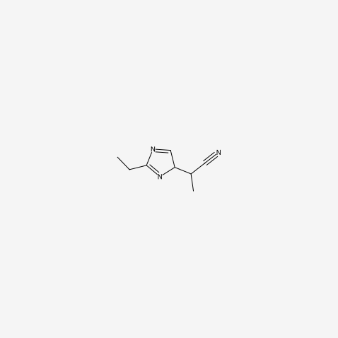 CCC1=NC(C(C)C#N)C=N1